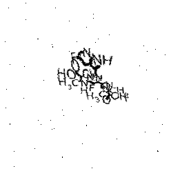 C[C@H](Nc1nc(-c2c[nH]c3ncc(F)cc23)nc(-c2cnn(C(C)(C)C(=O)O)c2)c1F)[C@H](C)C(=O)O